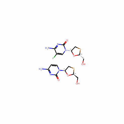 Nc1ccn([C@H]2CS[C@@H](CO)O2)c(=O)n1.Nc1nc(=O)n([C@@H]2CS[C@H](CO)O2)cc1F